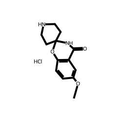 COc1ccc2c(c1)C(=O)NC1(CCNCC1)O2.Cl